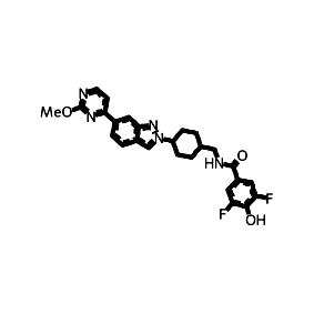 COc1nccc(-c2ccc3cn(C4CCC(CNC(=O)c5cc(F)c(O)c(F)c5)CC4)nc3c2)n1